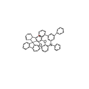 C1=CC2c3ccc4c(c3C3(c5ccccc5-c5ccccc53)C2C=C1)Oc1cccc(N(c2ccccc2)c2cc(-c3ccccc3)cc(-c3ccccc3)c2)c1O4